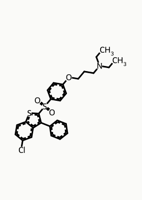 CCN(CC)CCCOc1ccc(S(=O)(=O)c2sc3ccc(Cl)cc3c2-c2ccccc2)cc1